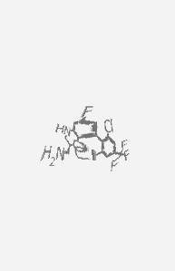 NCC1CNc2cc(F)cc(-c3c(Cl)cc(C(F)(F)F)cc3Cl)c2O1